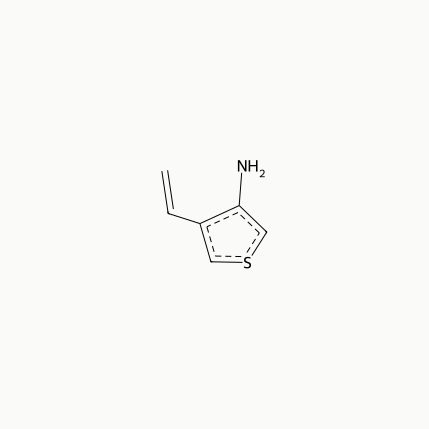 C=Cc1cscc1N